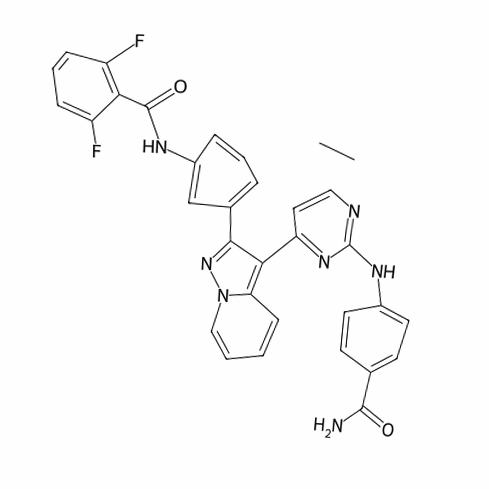 CC.NC(=O)c1ccc(Nc2nccc(-c3c(-c4cccc(NC(=O)c5c(F)cccc5F)c4)nn4ccccc34)n2)cc1